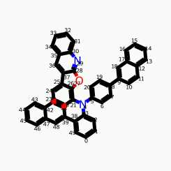 c1ccc(N(c2ccc(-c3ccc4ccccc4c3)cc2)c2cccc3c2oc2nc4ccccc4cc23)c(-c2ccc3ccccc3c2)c1